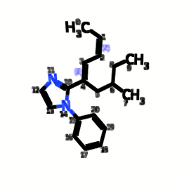 C/C=C\C=C(/CC(C)CC)c1nccn1-c1ccccc1